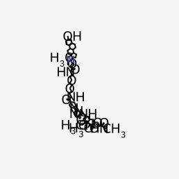 CNC(=O)COc1cc2cc(Nc3nc(N4CCC(C(=O)NCCOCCOCCNC(=O)CO/N=C5\CCC6C7CCc8cc(O)ccc8C7CCC56C)CC4)ncc3Cl)cc(OC)c2n(C)c1=O